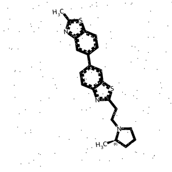 Cc1nc2cc(-c3ccc4nc(CCN5CCC[C@H]5C)sc4c3)ccc2s1